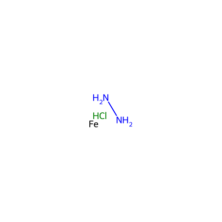 Cl.NN.[Fe]